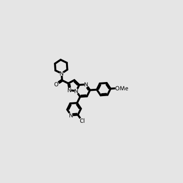 COc1ccc(-c2cc(-c3ccnc(Cl)c3)n3nc(C(=O)N4CCCCC4)cc3n2)cc1